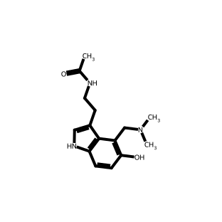 CC(=O)NCCc1c[nH]c2ccc(O)c(CN(C)C)c12